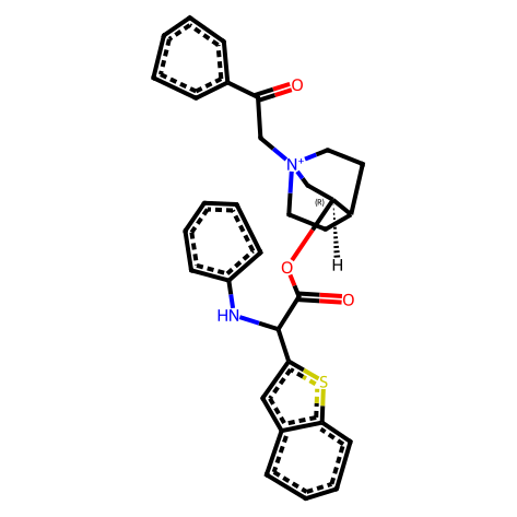 O=C(C[N+]12CCC(CC1)[C@@H](OC(=O)C(Nc1ccccc1)c1cc3ccccc3s1)C2)c1ccccc1